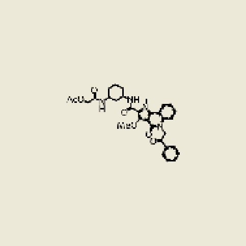 COc1c(C(=O)NC2CCCC(NC(=O)COC(C)=O)C2)n(C)c2c1c(=O)n(CC(=O)c1ccccc1)c1ccccc21